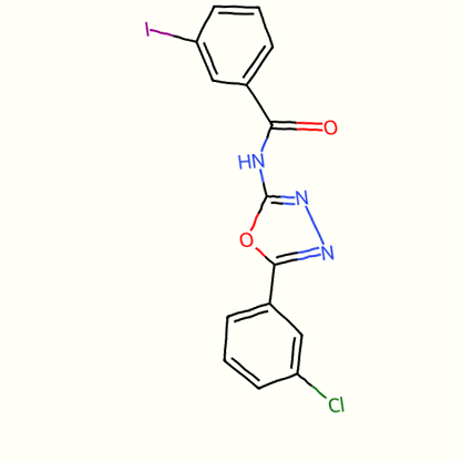 O=C(Nc1nnc(-c2cccc(Cl)c2)o1)c1cccc(I)c1